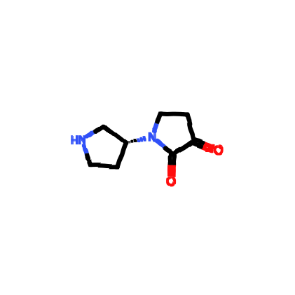 O=C1CCN([C@@H]2CCNC2)C1=O